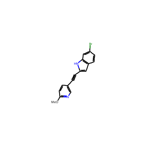 COc1ccc(C#Cc2cc3ccc(Br)cc3[nH]2)cn1